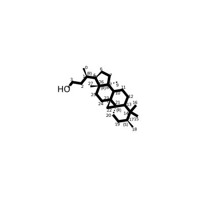 C[C@H](CCO)[C@H]1CC[C@@]2(C)C3CCC4C(C)(C)[C@@H](C)CC[C@@]45C[C@@]35CC[C@]12C